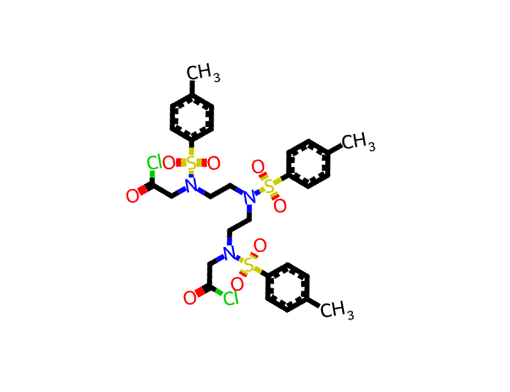 Cc1ccc(S(=O)(=O)N(CCN(CC(=O)Cl)S(=O)(=O)c2ccc(C)cc2)CCN(CC(=O)Cl)S(=O)(=O)c2ccc(C)cc2)cc1